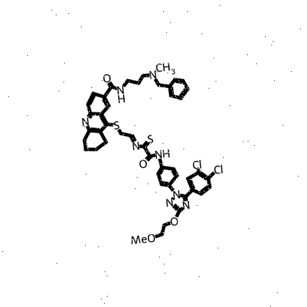 COCCOc1nc(-c2ccc(Cl)c(Cl)c2)n(-c2ccc(NC(=O)C(=S)/N=C/CSc3c4c(nc5ccc(C(=O)NCCCN(C)Cc6ccccc6)cc35)CCCC4)cc2)n1